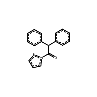 O=C(C(c1ccccc1)c1ccccc1)n1cccn1